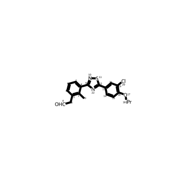 Cc1c(CC=O)cccc1-c1nsc(-c2ccc(OC(C)C)c(Cl)c2)n1